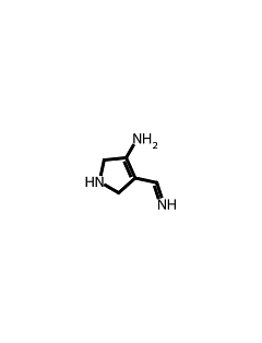 N=CC1=C(N)CNC1